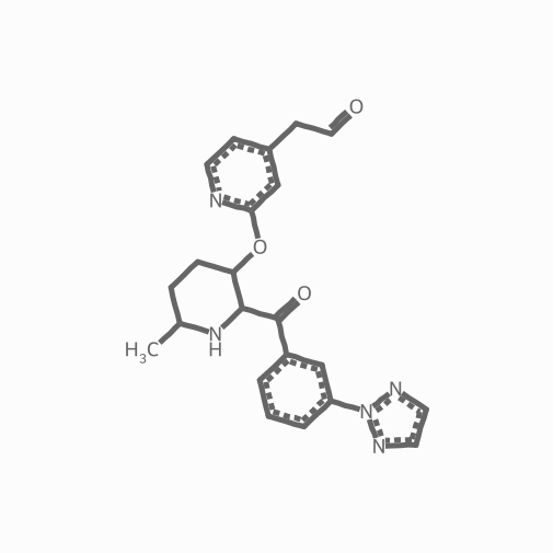 CC1CCC(Oc2cc(CC=O)ccn2)C(C(=O)c2cccc(-n3nccn3)c2)N1